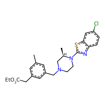 CCOC(=O)Cc1cc(C)cc(CN2CCN(c3nc4ccc(Cl)cc4s3)[C@H](C)C2)c1